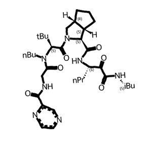 CCCCN(C(=O)CNC(=O)c1cnccn1)[C@H](C(=O)N1C[C@@H]2CCC[C@@H]2[C@H]1C(=O)N[C@@H](CCC)C(=O)C(=O)N[C@@H](C)CC)C(C)(C)C